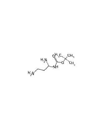 CC(C)(C)OC(=O)NC(N)CCN